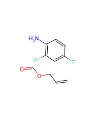 C=CCOC=O.Nc1ccc(F)cc1F